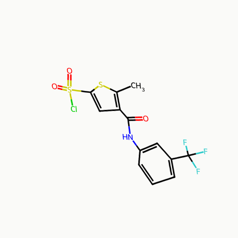 Cc1sc(S(=O)(=O)Cl)cc1C(=O)Nc1cccc(C(F)(F)F)c1